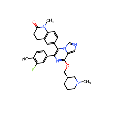 CN1CCC[C@@H](COc2nc(-c3ccc(C#N)c(F)c3)c(-c3ccc4c(c3)CCC(=O)N4C)n3cncc23)C1